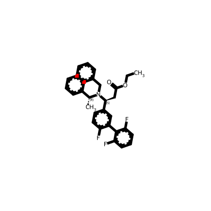 CCOC(=O)C[C@@H](c1ccc(F)c(-c2c(F)cccc2F)c1)N(Cc1ccccc1)[C@H](C)c1ccccc1